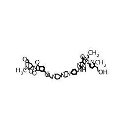 C=CCn1c(=O)c2cnc(Nc3ccc(N4CCN(C5CCN(CC6CN(c7ccc8c(c7)C(=O)N(C(CCC=O)C(=O)NC)C8=O)C6)CC5)CC4)cc3)nc2n1-c1ccc(CCO)c(C)n1